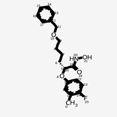 Cc1cc(O[C@H](CCCCOCc2ccccc2)C(=O)NO)ccc1F